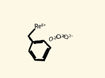 [O-2].[O-2].[O-2].[Re+6][CH2]c1ccccc1